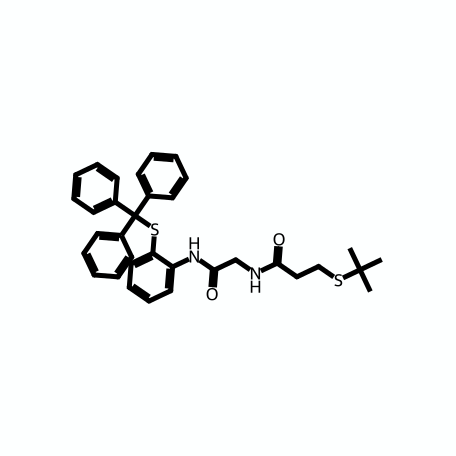 CC(C)(C)SCCC(=O)NCC(=O)Nc1ccccc1SC(c1ccccc1)(c1ccccc1)c1ccccc1